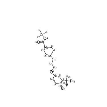 CC(C)(C)OC(=O)N1CCC(CCCOc2ccc(Br)c(C(F)(F)F)c2)CC1